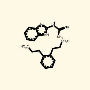 N=C(N)Nc1nc2ccccc2[nH]1.O=C(O)CCc1ccccc1CCC(=O)O